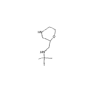 CC(C)(C)NCC1CNCCO1